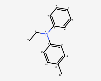 CCN(c1[c]cccc1)c1ccc(C)cc1